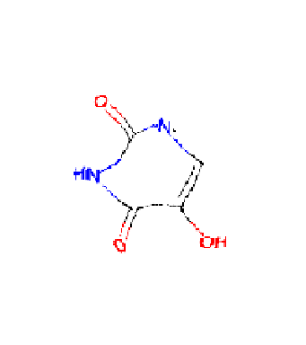 O=C1[N]C=C(O)C(=O)N1